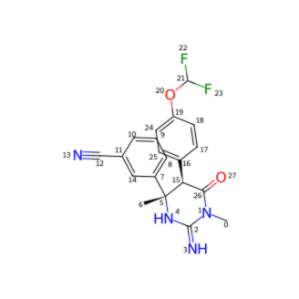 CN1C(=N)N[C@](C)(c2cccc(C#N)c2)[C@@H](c2ccc(OC(F)F)cc2)C1=O